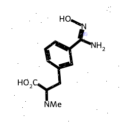 CNC(Cc1cccc(/C(N)=N\O)c1)C(=O)O